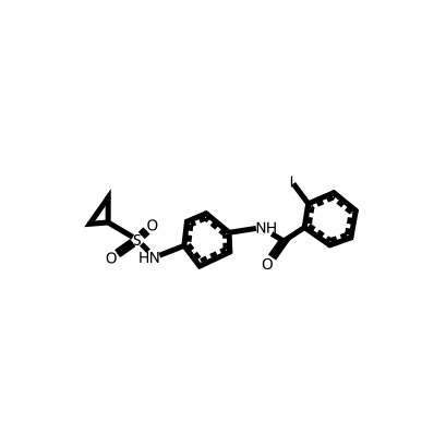 O=C(Nc1ccc(NS(=O)(=O)C2CC2)cc1)c1ccccc1I